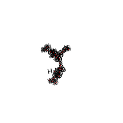 C=C1C[C@@H](C2OCCN2C(=O)OCC2c3ccccc3-c3ccccc32)N(C(=O)c2cc(OC)c(OCCCCCOc3cc(CC(=O)OCCSSc4ccccn4)c(C(=O)N4CC(=C)C[C@H]4C4OCCN4C(=O)OCC4c5ccccc5-c5ccccc54)cc3OC)cc2N)C1